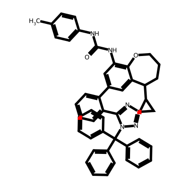 Cc1ccc(NC(=O)Nc2cc(-c3ccccc3-c3nnnn3C(c3ccccc3)(c3ccccc3)c3ccccc3)cc3c2OCCCC3C2CC2)cc1